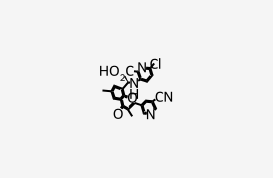 Cc1cc([C@@H](C)Nc2ccc(Cl)nc2C(=O)O)c2oc(-c3cncc(C#N)c3)c(C)c(=O)c2c1